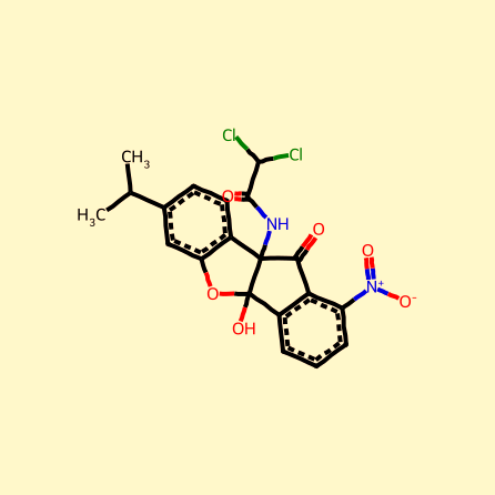 CC(C)c1ccc2c(c1)OC1(O)c3cccc([N+](=O)[O-])c3C(=O)C21NC(=O)C(Cl)Cl